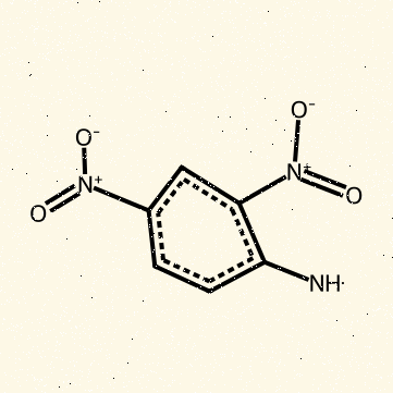 [NH]c1ccc([N+](=O)[O-])cc1[N+](=O)[O-]